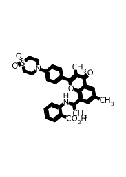 Cc1cc(C(C)Nc2ccccc2C(=O)O)c2oc(-c3ccc(N4CCS(=O)(=O)CC4)cc3)c(C)c(=O)c2c1